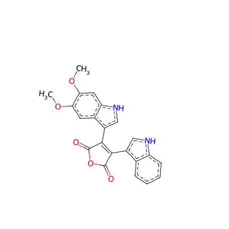 COc1cc2[nH]cc(C3=C(c4c[nH]c5ccccc45)C(=O)OC3=O)c2cc1OC